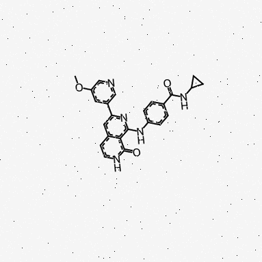 COc1cncc(-c2cc3cc[nH]c(=O)c3c(Nc3ccc(C(=O)NC4CC4)cc3)n2)c1